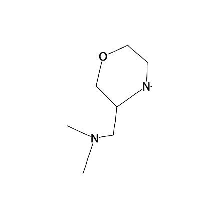 CN(C)CC1COCC[N]1